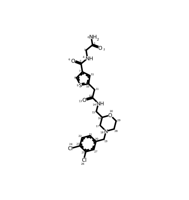 NC(=O)CNC(=O)c1csc(CC(=O)NCC2CN(Cc3ccc(Cl)c(Cl)c3)CCO2)c1